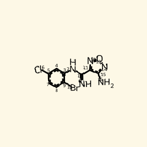 N=C(Nc1cc(Cl)ccc1Br)c1nonc1N